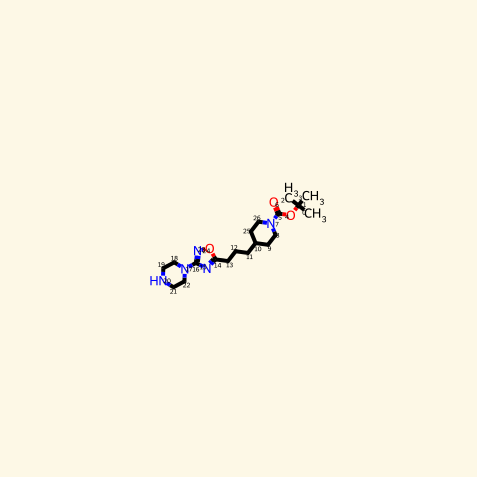 CC(C)(C)OC(=O)N1CCC(CCCc2nc(N3CCNCC3)no2)CC1